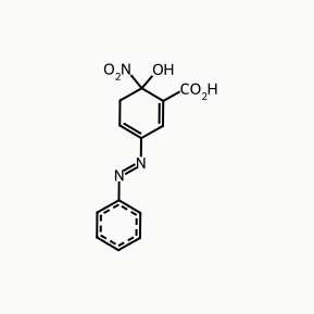 O=C(O)C1=CC(N=Nc2ccccc2)=CCC1(O)[N+](=O)[O-]